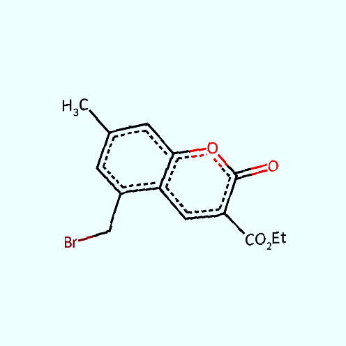 CCOC(=O)c1cc2c(CBr)cc(C)cc2oc1=O